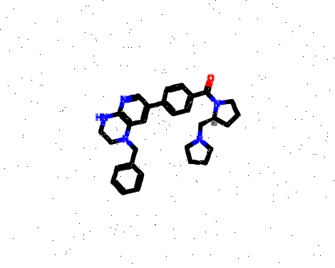 O=C(c1ccc(-c2cnc3c(c2)N(Cc2ccccc2)CCN3)cc1)N1CCC[C@H]1CN1CCCC1